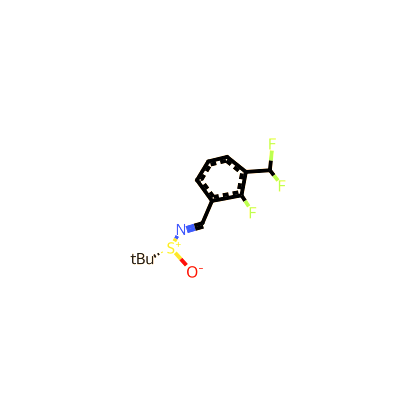 CC(C)(C)[S@@+]([O-])/N=C/c1cccc(C(F)F)c1F